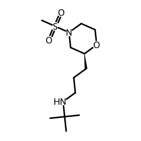 CC(C)(C)NCCC[C@H]1CN(S(C)(=O)=O)CCO1